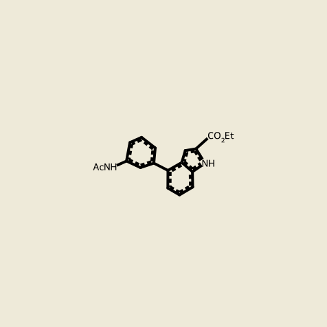 CCOC(=O)c1cc2c(-c3cccc(NC(C)=O)c3)cccc2[nH]1